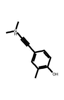 Cc1cc(C#C[SiH](C)C)ccc1O